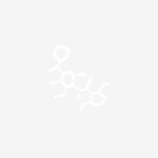 COc1cccc(OC)c1C(=O)[PH](=O)c1c(Cl)cc(C(=O)c2ccccc2)c(Cl)c1OC